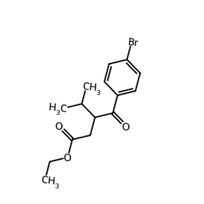 CCOC(=O)CC(C(=O)c1ccc(Br)cc1)C(C)C